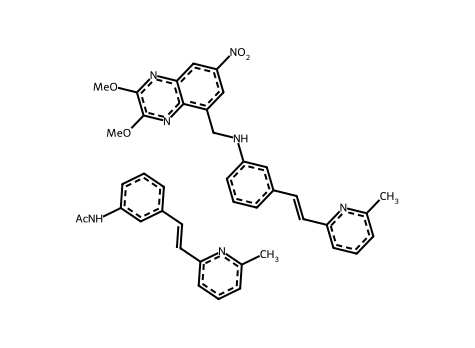 CC(=O)Nc1cccc(C=Cc2cccc(C)n2)c1.COc1nc2cc([N+](=O)[O-])cc(CNc3cccc(C=Cc4cccc(C)n4)c3)c2nc1OC